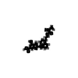 COC(=O)c1cc(OC)c2c(c1)nc(-c1cc3cccc4c3n1CCN4CCCOC(=O)NC1CC1)n2C